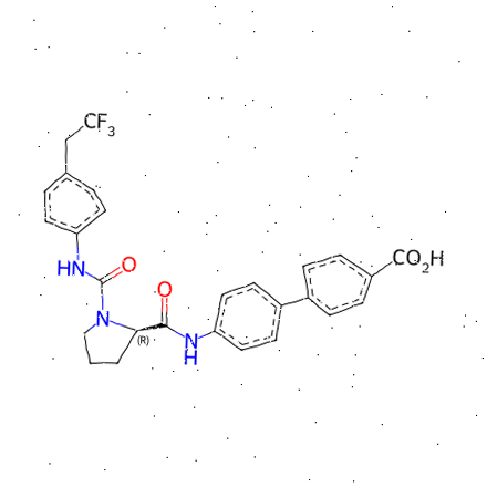 O=C(O)c1ccc(-c2ccc(NC(=O)[C@H]3CCCN3C(=O)Nc3ccc(CC(F)(F)F)cc3)cc2)cc1